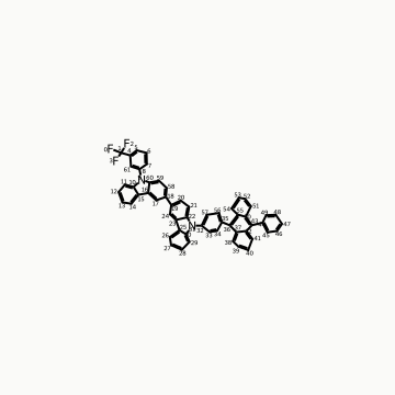 FC(F)(F)c1cccc(-n2c3ccccc3c3cc(-c4ccc5c(c4)c4ccccc4n5-c4ccc(-c5c6ccccc6c(-c6ccccc6)c6ccccc56)cc4)ccc32)c1